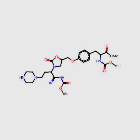 COC(=O)C(Cc1ccc(OCC2CN(C(CCN3CCNCC3)C(=N)NC(=O)OC(C)(C)C)C(=O)O2)cc1)NC(=O)OC(C)(C)C